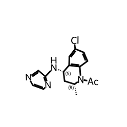 CC(=O)N1c2ccc(Cl)cc2[C@@H](Nc2cnccn2)C[C@H]1C